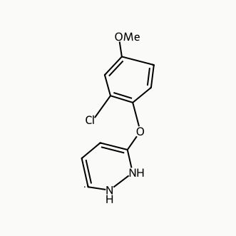 COc1ccc(OC2=CC=[C]NN2)c(Cl)c1